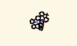 CC1(C)c2ccccc2-c2c(N(c3ccccc3)c3cccc4c5ccccc5n(C5(c6ccccc6)c6ccccc6-c6ccccc65)c34)cccc21